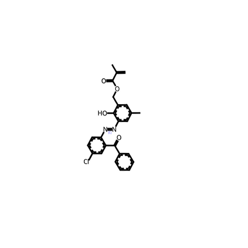 C=C(C)C(=O)OCc1cc(C)cc(/N=N/c2ccc(Cl)cc2C(=O)c2ccccc2)c1O